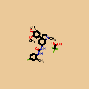 COc1ccc(C23CCC(NC(=O)Nc4ccc(F)cc4C)CC2N(C)CC3)cc1OC.O=C(O)C(F)(F)F